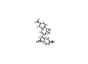 CN(C)c1ccc(C#N)c(/C=C(\C#N)c2c[nH]c3ccc(Br)cc23)c1